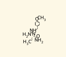 CCC[C@@H](C(N)=O)N(CCCc1ccc(OC)cc1)C(=N)N